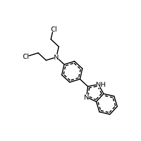 ClCCN(CCCl)c1ccc(-c2nc3ccccc3[nH]2)cc1